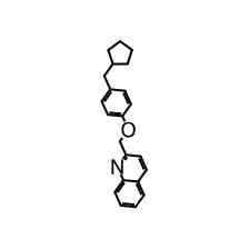 c1ccc2nc(COc3ccc(CC4CCCC4)cc3)ccc2c1